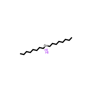 CCCCCCC[CH2][Sn][CH2]CCCCCCC.I.I